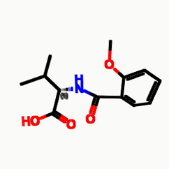 COc1ccccc1C(=O)N[C@H](C(=O)O)C(C)C